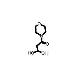 O=C(CC(O)O)N1CCOCC1